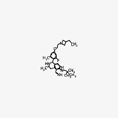 CCC1CN(CCOc2cc(C)c(C3NC(C)Cc4c3ccc(NCC(C)(C)C)c4C=N)c(F)c2)C1